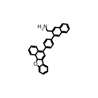 NCc1cc2ccccc2cc1-c1ccc(C2=C3C=CC=CC3C3Oc4ccccc4C3=C2)cc1